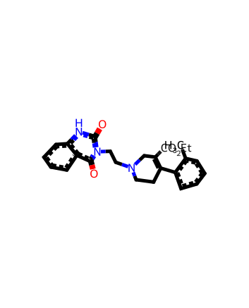 CCOC(=O)C1=C(c2ccccc2C)CCN(CCn2c(=O)[nH]c3ccccc3c2=O)C1